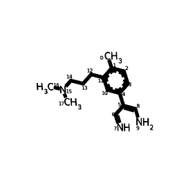 Cc1ccc(/C(C=N)=C/N)cc1CCCN(C)C